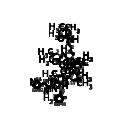 CC(C)C[C@H](NC(=O)[C@H](CCCCNC(=O)OC(C)(C)C)NC(=O)[C@H](CC(C)C)NC(=O)[C@H](CC(C)C)NC(=O)[C@H](C)NC(=O)[C@H](Cc1ccccc1)NC(=O)[C@@H](N)Cc1cccnc1)C(=O)O